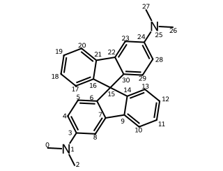 CN(C)c1ccc2c(c1)-c1ccccc1C21c2ccccc2-c2cc(N(C)C)ccc21